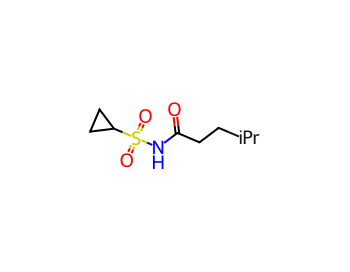 CC(C)CCC(=O)NS(=O)(=O)C1CC1